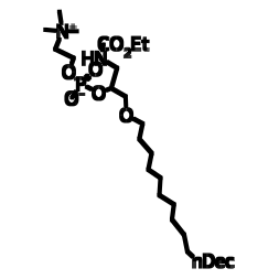 CCCCCCCCCCCCCCCCCCCCOCC(CNC(=O)OCC)OP(=O)([O-])OCC[N+](C)(C)C